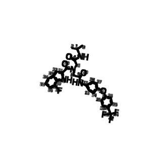 CC(C)NC(=O)CN(CC(=O)Nc1ccc(Oc2ccc(C(F)(F)F)cc2)cc1)C(=O)c1cc2cccc(F)c2[nH]1